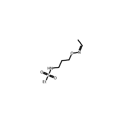 C/C=N\OCCCNS(=O)(=O)CC